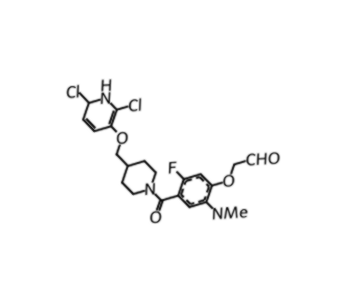 CNc1cc(C(=O)N2CCC(COC3=C(Cl)NC(Cl)C=C3)CC2)c(F)cc1OCC=O